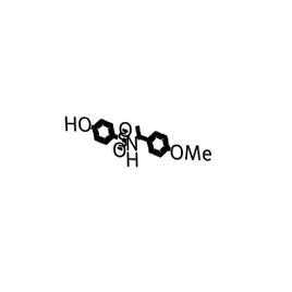 COc1ccc(C(C)NS(=O)(=O)c2ccc(O)cc2)cc1